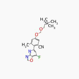 Cc1cc(OCOCC[Si](C)(C)C)cc(C#N)c1-c1cc(F)c2ocnc2n1